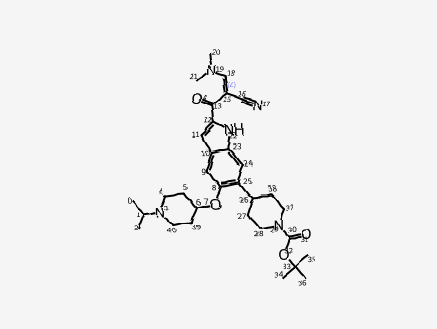 CC(C)N1CCC(Oc2cc3cc(C(=O)/C(C#N)=C\N(C)C)[nH]c3cc2C2CCN(C(=O)OC(C)(C)C)CC2)CC1